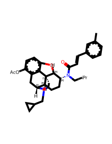 CC(=O)Oc1ccc2c3c1C[C@@H]1[C@@H]4CC[C@@H](N(CC(C)C)C(=O)C=Cc5cccc(C)c5)[C@H](O2)[C@]34CCN1CC1CC1